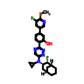 CSc1ncc(-c2ccc(-c3ncc(N(C4CC4)[C@H]4C[C@@H]5CCC[C@@H](C5)[C@H]4F)nn3)c(O)c2)cc1F